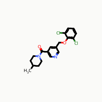 CC1CCN(C(=O)c2cncc(COc3c(Cl)cccc3Cl)c2)CC1